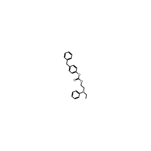 CCN(CCOC(=O)Oc1ccc(Cc2ccccc2)cc1)c1ccccc1